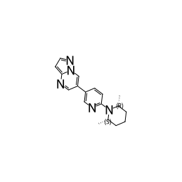 C[C@@H]1CCC[C@H](C)N1c1ccc(-c2cnc3ccnn3c2)cn1